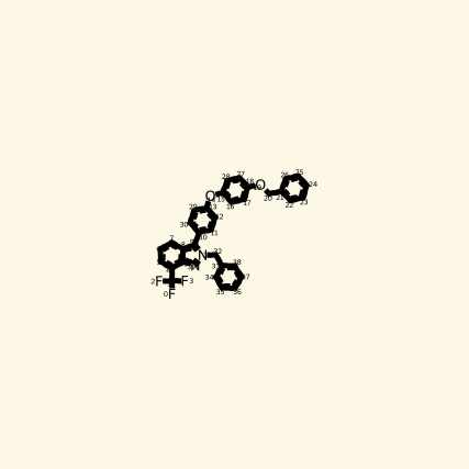 FC(F)(F)c1cccc2c(-c3ccc(Oc4ccc(OCc5ccccc5)cc4)cc3)n(Cc3ccccc3)nc12